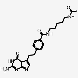 CC(=O)NCCCCCNC(=O)c1ccc(CCC2=CN=C3N=C(N)NC(=O)C23)cc1